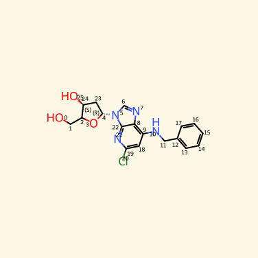 OCC1O[C@@H](n2cnc3c(NCc4ccccc4)cc(Cl)nc32)C[C@@H]1O